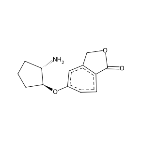 N[C@H]1CCC[C@@H]1Oc1ccc2c(c1)COC2=O